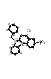 O=[N+]([O-])c1ccc2c(ccc3n(Cc4ccccc4)c4ccccc4[n+]23)c1.[Cl-]